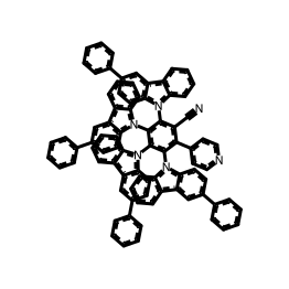 N#Cc1c(-c2ccncc2)c(-n2c3ccccc3c3cc(-c4ccccc4)ccc32)c(-n2c3ccccc3c3cc(-c4ccccc4)ccc32)c(-n2c3ccccc3c3cc(-c4ccccc4)ccc32)c1-n1c2ccccc2c2cc(-c3ccccc3)ccc21